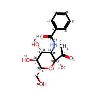 CC(=O)[C@@]1(Br)O[C@H](CO)[C@@H](O)[C@H](O)[C@H]1NC(=O)c1ccccc1